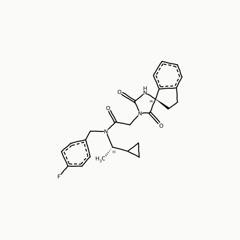 C[C@@H](C1CC1)N(Cc1ccc(F)cc1)C(=O)CN1C(=O)N[C@@]2(CCc3ccccc32)C1=O